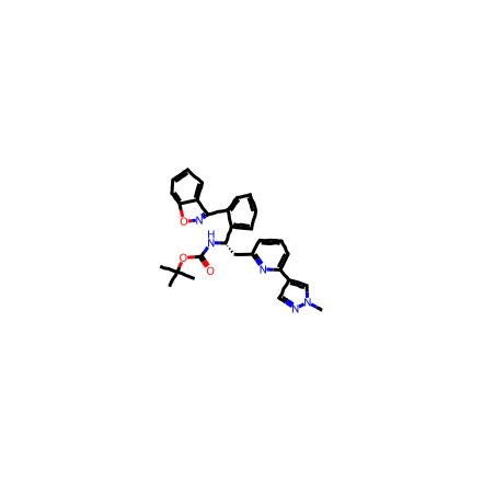 Cn1cc(-c2cccc(C[C@H](NC(=O)OC(C)(C)C)c3ccccc3-c3noc4ccccc34)n2)cn1